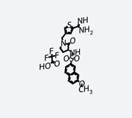 COc1ccc2ccc(S(=O)(=O)N[C@H]3CCN(Cc4csc(C(=N)N)c4)C3=O)cc2c1.O=C(O)C(F)(F)F